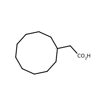 O=C(O)C[C]1CCCCCCCCC1